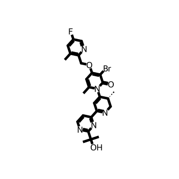 Cc1cc(F)cnc1COc1cc(C)n(C2=CC(c3ccnc(C(C)(C)O)n3)=NC[C@H]2C)c(=O)c1Br